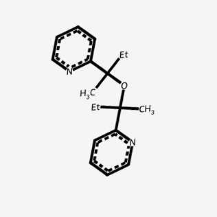 CCC(C)(OC(C)(CC)c1ccccn1)c1ccccn1